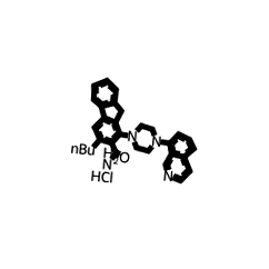 CCCCc1cc2c(c(N3CCN(c4cccc5ccncc45)CC3)c1C(N)=O)Cc1ccccc1-2.Cl